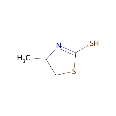 CC1CSC(S)=N1